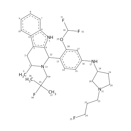 CC1Cc2c([nH]c3ccccc23)C(c2ccc(NC3CCN(CCCF)C3)cc2OC(F)F)N1CC(C)(C)F